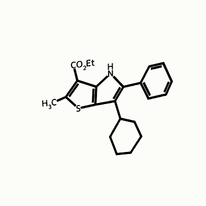 CCOC(=O)c1c(C)sc2c(C3CCCCC3)c(-c3ccccc3)[nH]c12